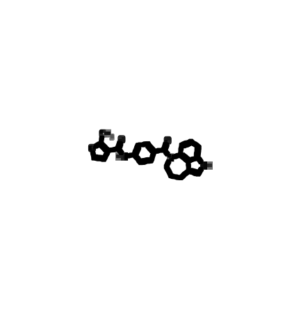 Cc1occc1C(=O)Nc1ccc(C(=O)N2CCCc3c[nH]c4cccc2c34)cc1